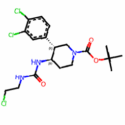 CC(C)(C)OC(=O)N1CC[C@@H](NC(=O)NCCCl)[C@H](c2ccc(Cl)c(Cl)c2)C1